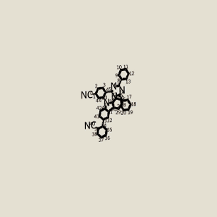 N#Cc1ccc(-c2nc(-c3ccccc3)nc(-c3ccccc3)n2)c(-n2c3ccccc3c3cc(-c4ccccc4C#N)ccc32)c1